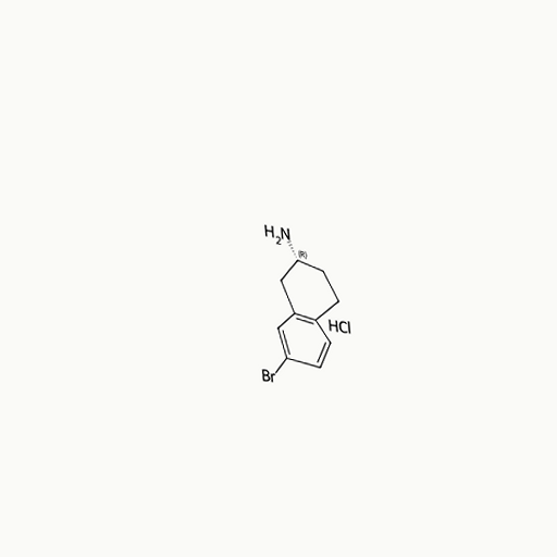 Cl.N[C@@H]1CCc2ccc(Br)cc2C1